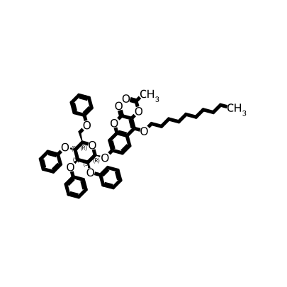 CCCCCCCCCCOc1c(OC(C)=O)c(=O)oc2cc(O[C@H]3O[C@H](COc4ccccc4)[C@@H](Oc4ccccc4)[C@H](Oc4ccccc4)[C@@H]3Oc3ccccc3)ccc12